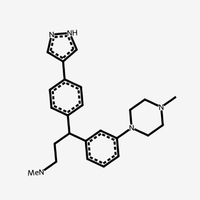 CNCCC(c1ccc(-c2cn[nH]c2)cc1)c1cccc(N2CCN(C)CC2)c1